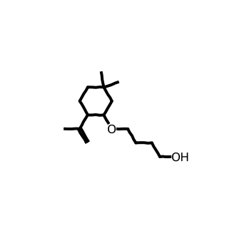 C=C(C)C1CCC(C)(C)CC1OCCCCO